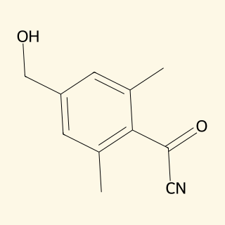 Cc1cc(CO)cc(C)c1C(=O)C#N